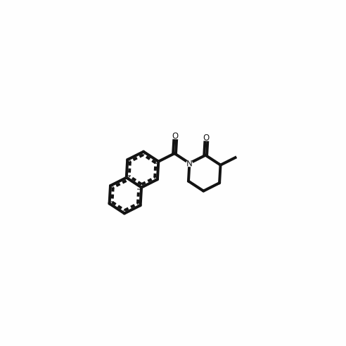 CC1CCCN(C(=O)c2ccc3ccccc3c2)C1=O